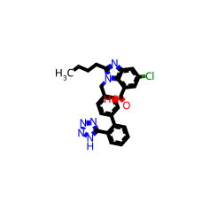 CCCCc1nc2cc(Cl)cc(C(=O)O)c2n1Cc1ccc(-c2ccccc2-c2nnn[nH]2)cc1